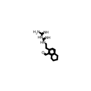 N=C(N)NC(=N)NCCc1ccc2c(c1C=O)CCCC2